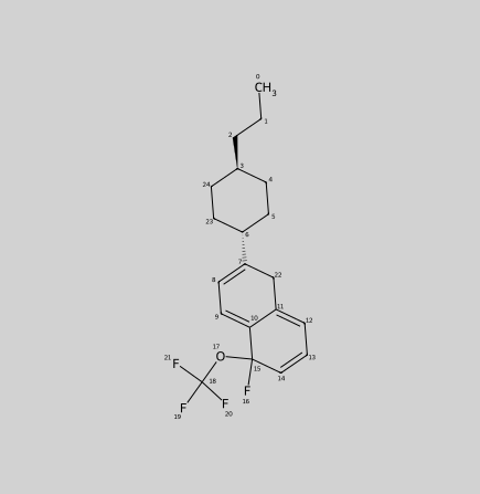 CCC[C@H]1CC[C@H](C2=CC=C3C(=CC=CC3(F)OC(F)(F)F)C2)CC1